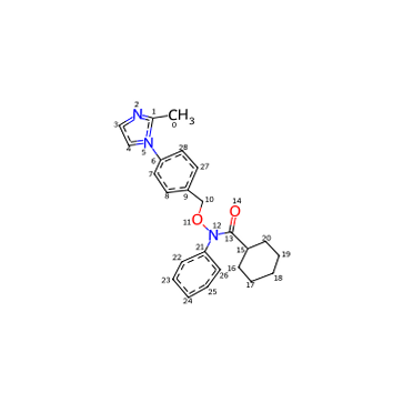 Cc1nccn1-c1ccc(CON(C(=O)C2CCCCC2)c2ccccc2)cc1